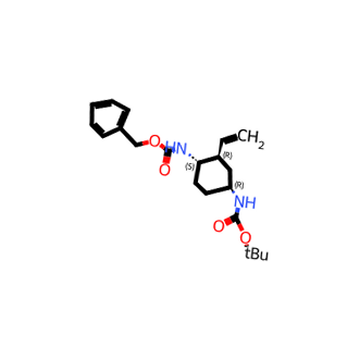 C=C[C@H]1C[C@H](NC(=O)OC(C)(C)C)CC[C@@H]1NC(=O)OCc1ccccc1